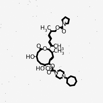 C/C(=C\C=C\[C@@H](C)COC(=O)N1CCCC1)[C@H]1OC(=O)C[C@@H](O)CC[C@](C)(O)C(OC(=O)N2CCN(C3CCCCCC3)CC2)/C=C/[C@@H]1C